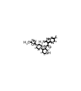 Cc1nnc(N2CCN(C3CCNCC3NC(=O)c3c(N)nn4cc(F)cnc34)CC2)o1